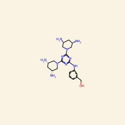 N[C@@H]1C[C@H](N)CN(c2nc(Nc3cccc(CO)c3)nc(N3C[C@H](N)C[C@H](N)C3)n2)C1